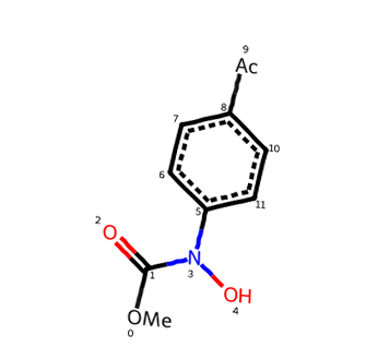 COC(=O)N(O)c1ccc(C(C)=O)cc1